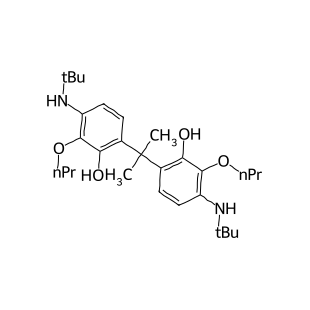 CCCOc1c(NC(C)(C)C)ccc(C(C)(C)c2ccc(NC(C)(C)C)c(OCCC)c2O)c1O